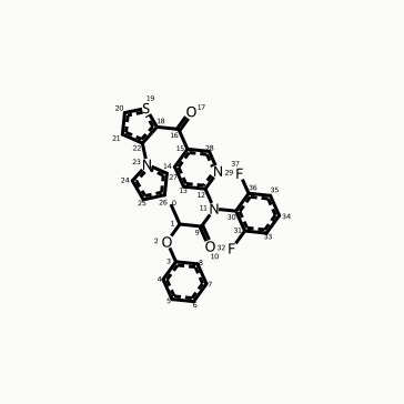 CC(Oc1ccccc1)C(=O)N(c1ccc(C(=O)c2sccc2-n2cccc2)cn1)c1c(F)cccc1F